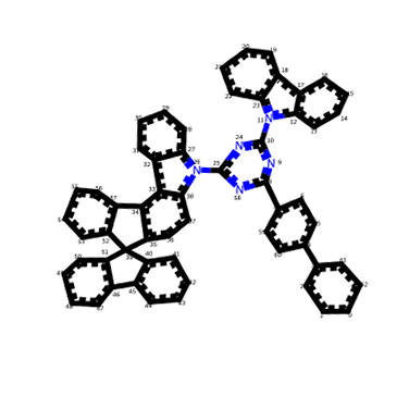 c1ccc(-c2ccc(-c3nc(-n4c5ccccc5c5ccccc54)nc(-n4c5ccccc5c5c6c(ccc54)C4(c5ccccc5-c5ccccc54)c4ccccc4-6)n3)cc2)cc1